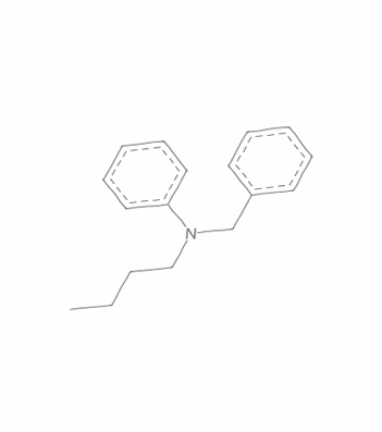 CCCCN(Cc1ccccc1)c1ccccc1